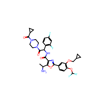 CC(N)c1oc(-c2ccc(OC(F)F)c(OCC3CC3)c2)nc1C(=O)NC(C(=O)N1CCN(C(=O)C2CC2)CC1)c1ccc(F)cc1F